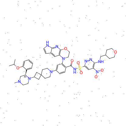 CC(C)Oc1ccccc1[C@@H]1CN(C)CCN1C1CC2(CCN(c3ccc(C(=O)NS(=O)(=O)c4cc([N+](=O)[O-])c(NCC5CCOCC5)nn4)c(N4CCOc5nc6[nH]ccc6cc54)c3)CC2)C1